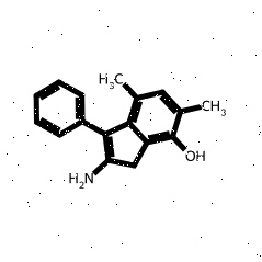 Cc1cc(C)c2c(c1O)CC(N)=C2c1ccccc1